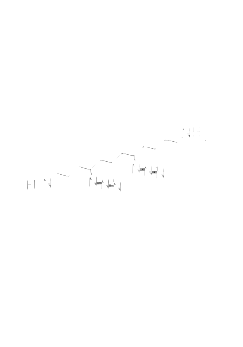 [N-]=[N+]=NC(CCCN)CCCC(CCCCN)N=[N+]=[N-]